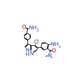 CN(C)C(=O)c1cc(-c2cnc3[nH]cc(-c4ccc(C(N)=O)cc4)c3c2Cl)ccc1N